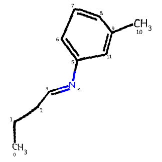 CCCC=Nc1cccc(C)c1